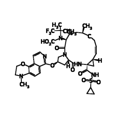 C[C@H]1CC/C=C\[C@@H]2C[C@@]2(C(=O)NS(=O)(=O)C2CC2)NC(=O)[C@@H]2C[C@@H](Oc3nccc4c5c(ccc34)N(C)CCO5)CN2C(=O)[C@@H](N(C(=O)O)C(C)(C)C(F)(F)F)[C@H](C)C1